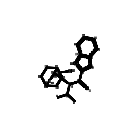 CC(C)N(C(=O)c1cc2ccccc2o1)[C@H]1CN2CCC1CC2